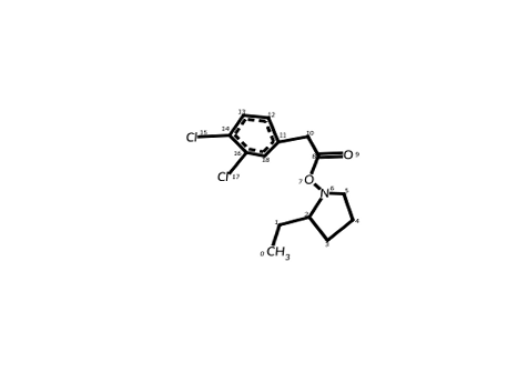 CCC1CCCN1OC(=O)Cc1ccc(Cl)c(Cl)c1